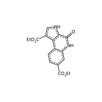 CCOC(=O)c1ccc2c(c1)[nH]c(=O)c1[nH]cc(C(=O)OCC)c12